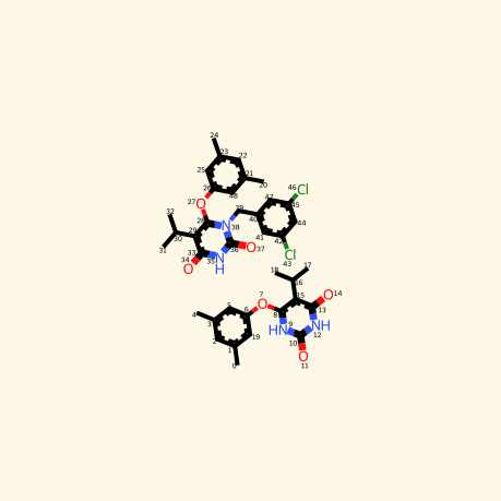 Cc1cc(C)cc(Oc2[nH]c(=O)[nH]c(=O)c2C(C)C)c1.Cc1cc(C)cc(Oc2c(C(C)C)c(=O)[nH]c(=O)n2Cc2cc(Cl)cc(Cl)c2)c1